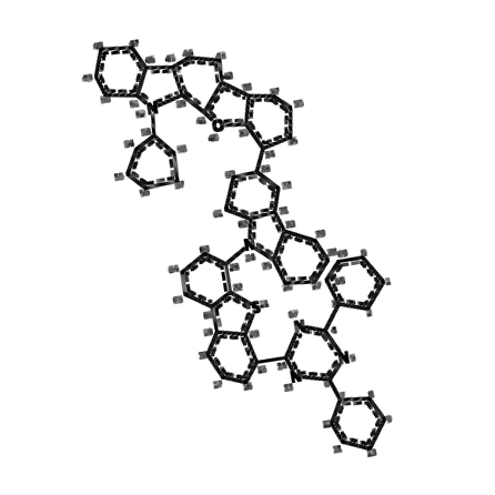 c1ccc(-c2nc(-c3ccccc3)nc(-c3cccc4c3sc3c(-n5c6ccccc6c6cc(-c7cccc8c7oc7c8ccc8c9ccccc9n(-c9ccccc9)c87)ccc65)cccc34)n2)cc1